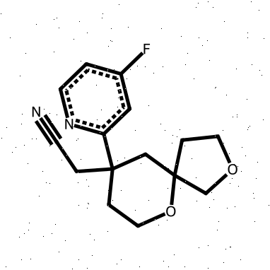 N#CCC1(c2cc(F)ccn2)CCOC2(CCOC2)C1